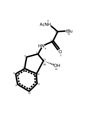 CC(=O)NC(C(=O)NC1Cc2ccccc2[C@H]1O)C(C)(C)C